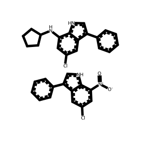 Clc1cc(NC2CCCC2)c2[nH]cc(-c3ccccc3)c2c1.O=[N+]([O-])c1cc(Cl)cc2c(-c3ccccc3)c[nH]c12